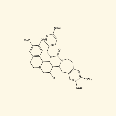 CCC1CN2CCc3cc(OC)c(OC)cc3C2CC1C1Cc2cc(OC)c(OC)cc2CCN1C(=O)OCc1ccc(NC(C)=O)cc1